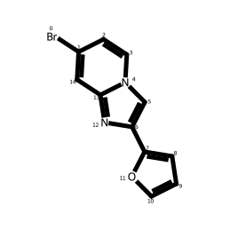 Brc1ccn2cc(-c3ccco3)nc2c1